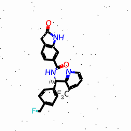 O=C1Cc2ccc(C(=O)N[C@@H](c3ccc(CF)cc3)c3ncccc3C(F)(F)F)cc2N1